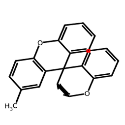 Cc1ccc2c(c1)C1(c3ccccc3Oc3ccccc31)c1ccccc1O2